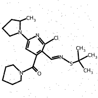 CC1CCCN1c1cc(C(=O)N2CCCCC2)c(/C=N/SC(C)(C)C)c(Cl)n1